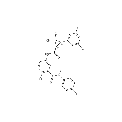 Cc1cc(Cl)cc([C@@H]2[C@@H](C(=O)Nc3ccc(Cl)c(C(=O)N(C)c4ccc(F)cc4)c3)C2(Cl)Cl)c1